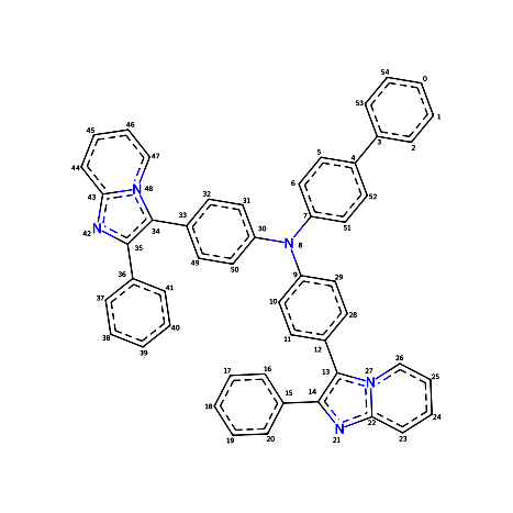 c1ccc(-c2ccc(N(c3ccc(-c4c(-c5ccccc5)nc5ccccn45)cc3)c3ccc(-c4c(-c5ccccc5)nc5ccccn45)cc3)cc2)cc1